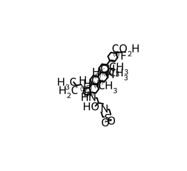 C=C(C)C[C@@H]1CC[C@]2(NCC(O)CN3CCS(=O)(=O)CC3)CC[C@]3(C)[C@H](CC[C@@H]4[C@@]5(C)CC=C(C6=CC[C@](CF)(C(=O)O)CC6)C(C)(C)[C@@H]5CC[C@]43C)[C@@H]12